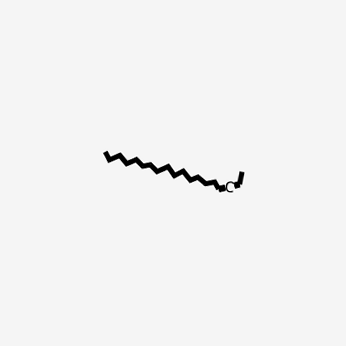 CC=C=CCCCCCCCCCCCCCCC